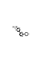 Nc1ncc(-c2ccnc(N3CCOCC3)n2)cn1